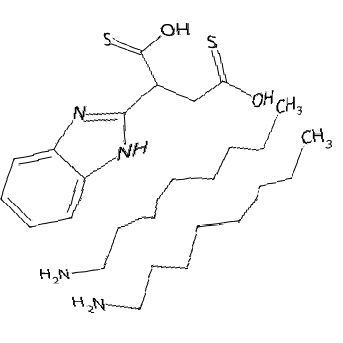 CCCCCCCCN.CCCCCCCCN.OC(=S)CC(C(O)=S)c1nc2ccccc2[nH]1